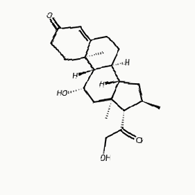 C[C@@H]1C[C@H]2[C@@H]3CCC4=CC(=O)CC[C@]4(C)[C@H]3[C@@H](O)C[C@]2(C)[C@H]1C(=O)CO